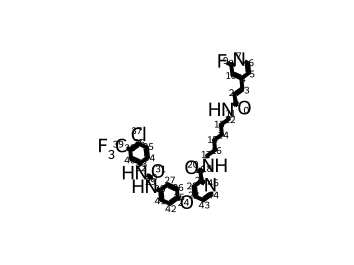 O=C(C=Cc1ccnc(F)c1)NCCCCCCNC(=O)c1cc(Oc2ccc(NC(=O)Nc3ccc(Cl)c(C(F)(F)F)c3)cc2)ccn1